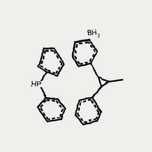 B.CC1C(c2ccccc2)C1c1ccccc1.c1ccc(Pc2ccccc2)cc1